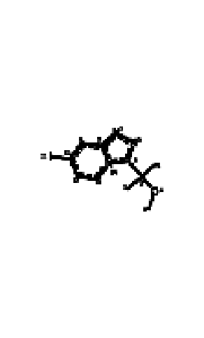 COC(C)(C)c1nnc2cc(I)ccn12